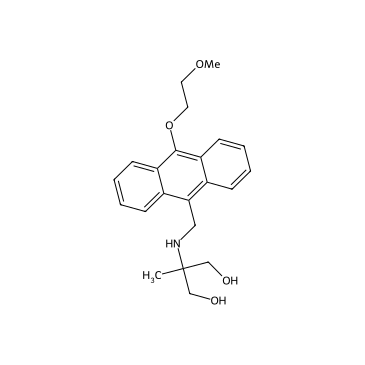 COCCOc1c2ccccc2c(CNC(C)(CO)CO)c2ccccc12